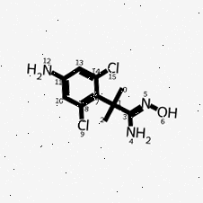 CC(C)(/C(N)=N/O)c1c(Cl)cc(N)cc1Cl